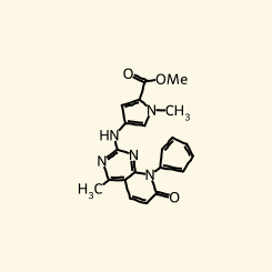 COC(=O)c1cc(Nc2nc(C)c3ccc(=O)n(-c4ccccc4)c3n2)cn1C